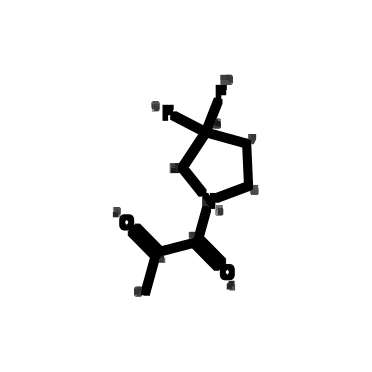 CC(=O)C(=O)N1CCC(F)(F)C1